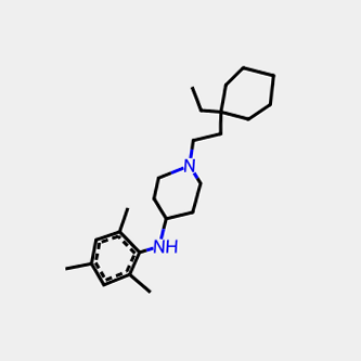 CCC1(CCN2CCC(Nc3c(C)cc(C)cc3C)CC2)CCCCC1